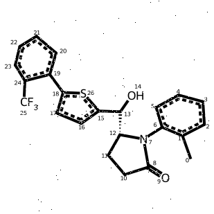 Cc1ccccc1N1C(=O)CC[C@@H]1C(O)c1ccc(-c2ccccc2C(F)(F)F)s1